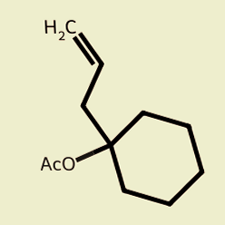 C=CCC1(OC(C)=O)CCCCC1